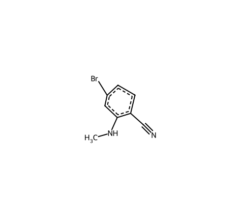 CNc1cc(Br)ccc1C#N